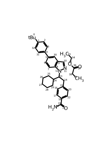 CC(C)(C)c1ccc(-c2ccc3c(cnn3C(Cc3ccc(C(N)=O)cc3)C3CCCCC3)c2)cc1.CCOC(=O)CC